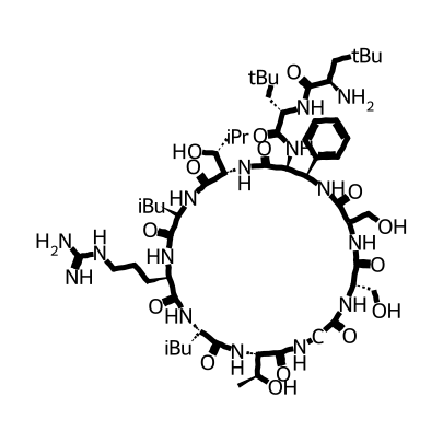 CC[C@H](C)C1NC(=O)[C@H]([C@H](O)C(C)C)NC(=O)[C@@H](NC(=O)[C@H](CC(C)(C)C)NC(=O)[C@H](N)CC(C)(C)C)[C@@H](c2ccccc2)NC(=O)C(CO)NC(=O)[C@H](CO)NC(=O)CNC(=O)[C@H]([C@H](C)O)NC(=O)[C@H]([C@@H](C)CC)NC(=O)[C@@H](CCCNC(=N)N)NC1=O